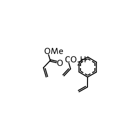 C=CC(=O)O.C=CC(=O)OC.C=Cc1ccccc1